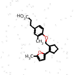 Cc1ccc(C2=C(COc3ccc(CCC(=O)O)cc3C)CCC2)o1